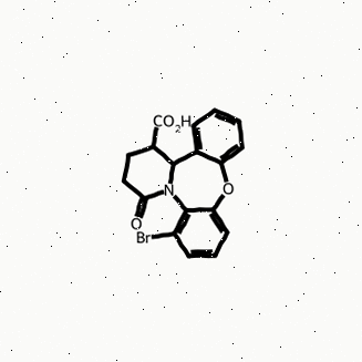 O=C(O)C1CCC(=O)N2c3c(Br)cccc3Oc3ccccc3C12